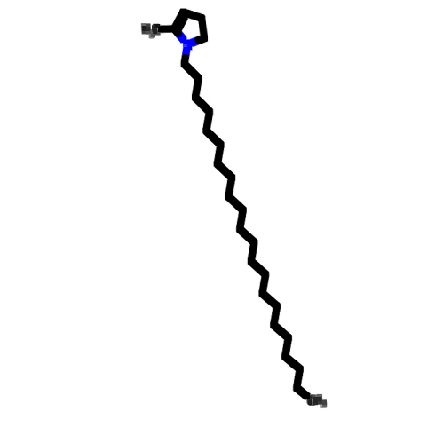 CCCCCCCCCCCCCCCCCCCCCCN1CCC=C1C